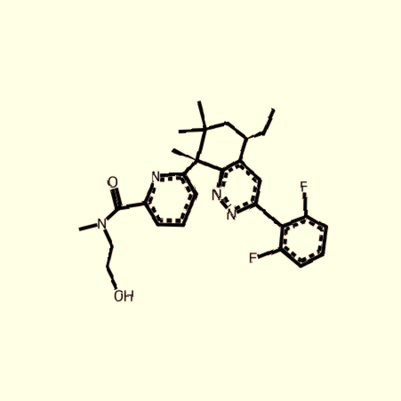 CC[C@@H]1CC(C)(C)[C@@](C)(c2cccc(C(=O)N(C)CCO)n2)c2nnc(-c3c(F)cccc3F)cc21